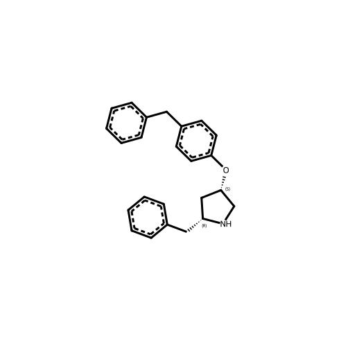 c1ccc(Cc2ccc(O[C@@H]3CN[C@H](Cc4ccccc4)C3)cc2)cc1